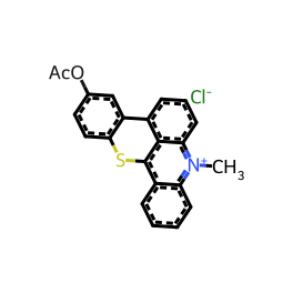 CC(=O)Oc1ccc2c(c1)-c1cccc3c1c(c1ccccc1[n+]3C)S2.[Cl-]